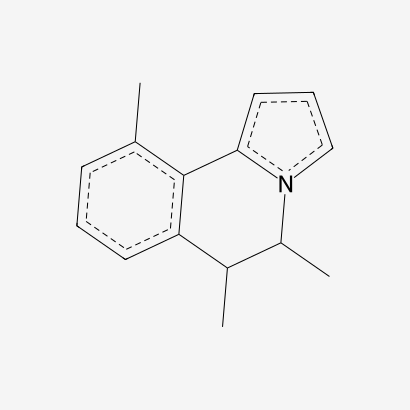 Cc1cccc2c1-c1cccn1C(C)C2C